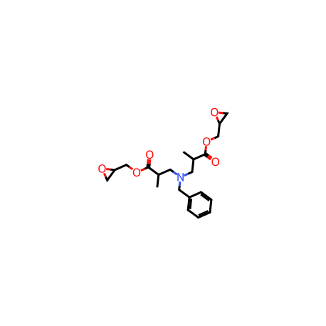 CC(CN(Cc1ccccc1)CC(C)C(=O)OCC1CO1)C(=O)OCC1CO1